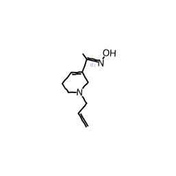 C=CCN1CCC=C(/C(C)=N/O)C1